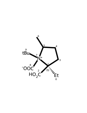 CC[C@@]1(C(=O)O)CCC(C)[N+]1(C(=O)[O-])C(C)(C)C